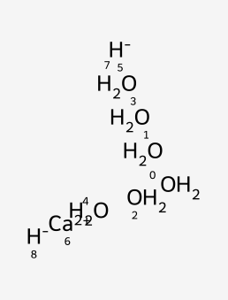 O.O.O.O.O.O.[Ca+2].[H-].[H-]